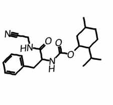 CC1CCC(C(C)C)C(OC(=O)NC(Cc2ccccc2)C(=O)NCC#N)C1